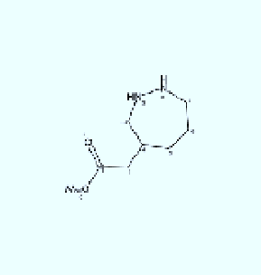 COC(=O)CC1CCCNNC1